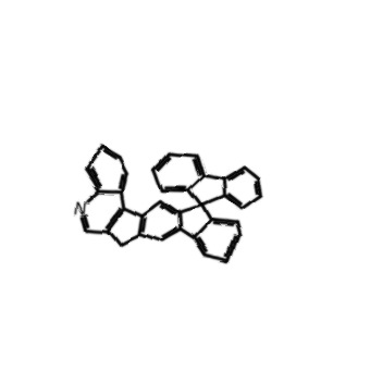 c1ccc2c(c1)-c1ccccc1C21c2ccccc2-c2cc3c(cc21)-c1c(cnc2ccccc12)C3